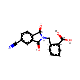 N#Cc1ccc2c(c1)C(=O)N(Cc1ccccc1C(=O)O)C2=O